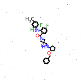 Cc1ccc(Nc2c(C(=O)N3CC(O)(CNC4CCCC4OCc4ccccc4)C3)ccc(F)c2F)c(F)c1